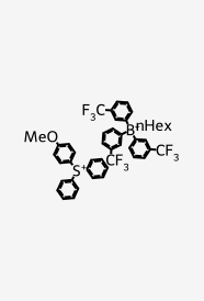 CCCCCC[B-](c1cccc(C(F)(F)F)c1)(c1cccc(C(F)(F)F)c1)c1cccc(C(F)(F)F)c1.COc1ccc([S+](c2ccccc2)c2ccccc2)cc1